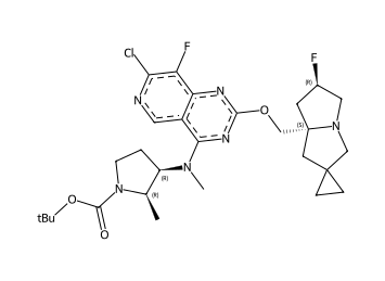 C[C@@H]1[C@H](N(C)c2nc(OC[C@]34C[C@@H](F)CN3CC3(CC3)C4)nc3c(F)c(Cl)ncc23)CCN1C(=O)OC(C)(C)C